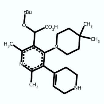 Cc1nc(C)c(C(OC(C)(C)C)C(=O)O)c(N2CCC(C)(C)CC2)c1C1=CCNCC1